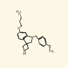 CCCCOc1ccc2c(c1)N(Cc1ccc(OC)cc1)CC21CNC1